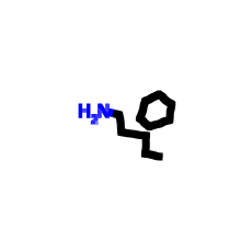 C1CCCCC1.CCCCCN